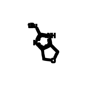 CC(C)(C)c1nc2c([nH]1)COC2